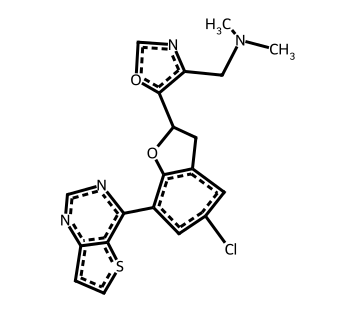 CN(C)Cc1ncoc1C1Cc2cc(Cl)cc(-c3ncnc4ccsc34)c2O1